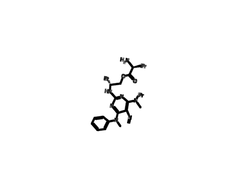 C=Nc1c(N(C)c2ccccc2)nc(N[C@H](CC)COC(=O)[C@@H](N)C(C)C)nc1N(C)C(C)C